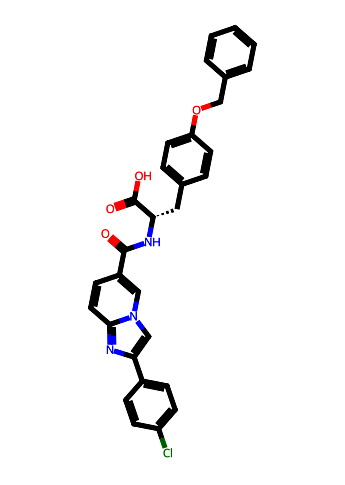 O=C(N[C@@H](Cc1ccc(OCc2ccccc2)cc1)C(=O)O)c1ccc2nc(-c3ccc(Cl)cc3)cn2c1